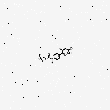 Cc1cc(=O)[nH]nc1-c1ccc(NC(=O)OCC(F)(F)F)cc1